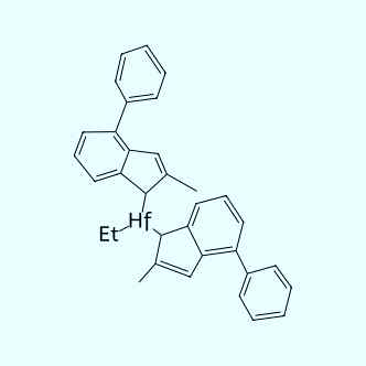 C[CH2][Hf]([CH]1C(C)=Cc2c(-c3ccccc3)cccc21)[CH]1C(C)=Cc2c(-c3ccccc3)cccc21